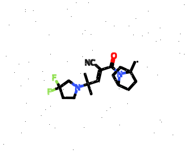 [CH2]C12CCC(CC1)N2C(=O)C(C#N)=CC(C)(C)N1CCC(F)(F)C1